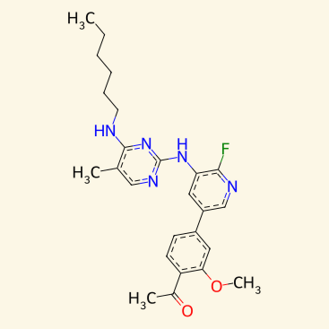 CCCCCCNc1nc(Nc2cc(-c3ccc(C(C)=O)c(OC)c3)cnc2F)ncc1C